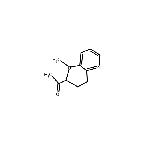 CC(=O)C1CCc2ncccc2N1C